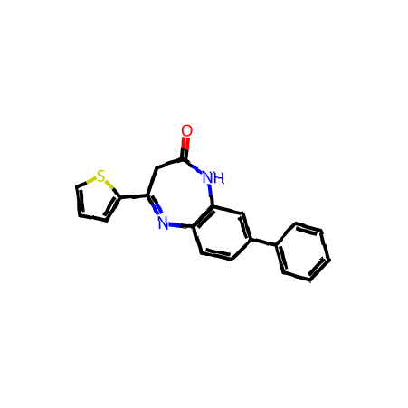 O=C1CC(c2cccs2)=Nc2ccc(-c3ccccc3)cc2N1